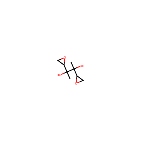 CC(O)(C1CO1)C(C)(O)C1CO1